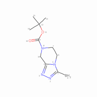 Bc1nnc2n1CCN(C(=O)OC(C)(C)C)C2